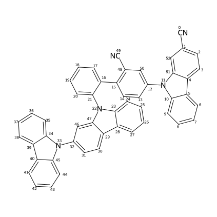 N#Cc1ccc2c3ccccc3n(-c3ccc(-c4ccccc4-n4c5ccccc5c5ccc(-n6c7ccccc7c7ccccc76)cc54)c(C#N)c3)c2c1